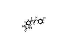 O=C(Nc1cccc(F)c1)Nc1ccc2[nH]c(=O)[nH]c2c1